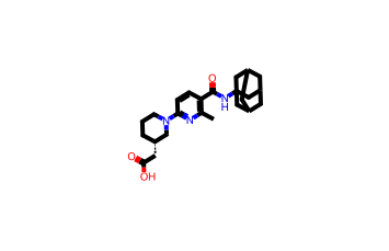 Cc1nc(N2CCC[C@@H](CC(=O)O)C2)ccc1C(=O)NC12CC3CC(CC(C3)C1)C2